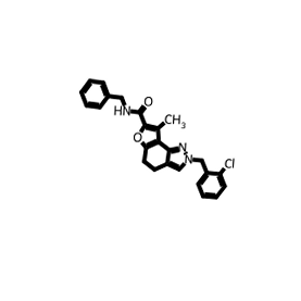 Cc1c(C(=O)NCc2ccccc2)oc2c1-c1nn(Cc3ccccc3Cl)cc1CC2